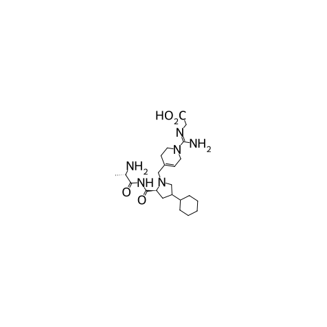 C[C@H](N)C(=O)NC(=O)[C@@H]1CC(C2CCCCC2)CN1CC1=CCN(C(N)=NCC(=O)O)CC1